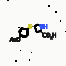 CC(=O)Oc1ccc(S[C@@H]2CN[C@H](C(=O)O)C2)cc1